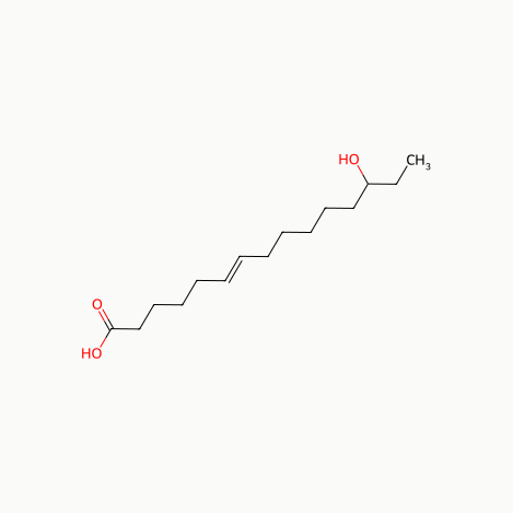 CCC(O)CCCCCC=CCCCCC(=O)O